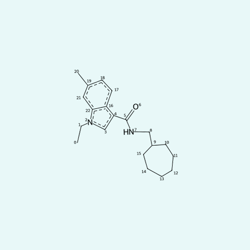 CCn1cc(C(=O)NCC2CCCCCC2)c2ccc(C)cc21